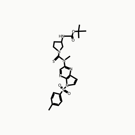 Cc1ccc(S(=O)(=O)n2ccc3nc(N(C)C(=S)N4CCC(NC(=O)OC(C)(C)C)C4)cnc32)cc1